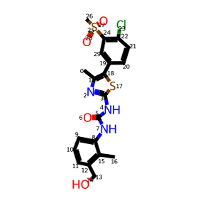 Cc1nc(NC(=O)Nc2cccc(CO)c2C)sc1-c1ccc(Cl)c(S(C)(=O)=O)c1